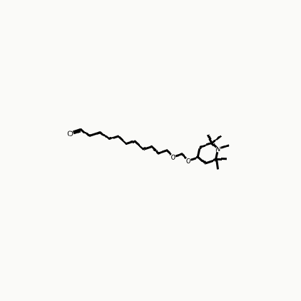 CN1C(C)(C)CC(OCOCCCCCCCCCCC=O)CC1(C)C